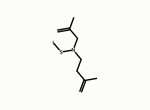 C=C(C)CCN(CC(=C)C)SI